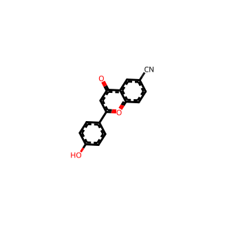 N#Cc1ccc2oc(-c3ccc(O)cc3)cc(=O)c2c1